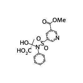 COC(=O)c1cncc(S(=O)(=O)N(c2ccccc2)[C@](C)(O)C(=O)O)c1